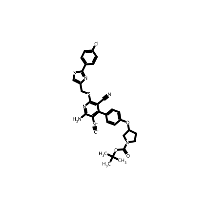 [C-]#[N+]c1c(N)nc(SCc2csc(-c3ccc(Cl)cc3)n2)c(C#N)c1-c1ccc(OC2CCN(C(=O)OC(C)(C)C)C2)cc1